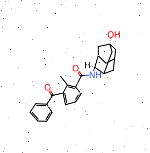 Cc1c(C(=O)N[C@H]2C3CC4CC2C[C@](O)(C4)C3)cccc1C(=O)c1ccccc1